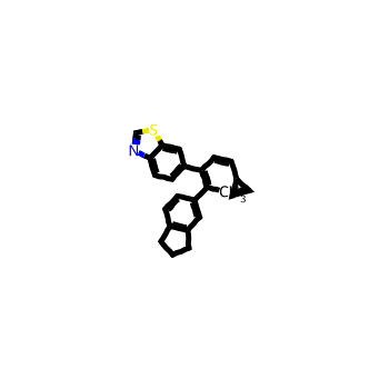 C/C(=C(\C=C/C1C=C1)c1ccc2ncsc2c1)c1ccc2c(c1)CCC2